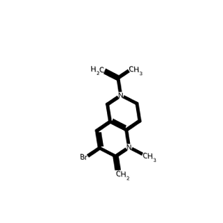 C=C(C)N1CCC2=C(C=C(Br)C(=C)N2C)C1